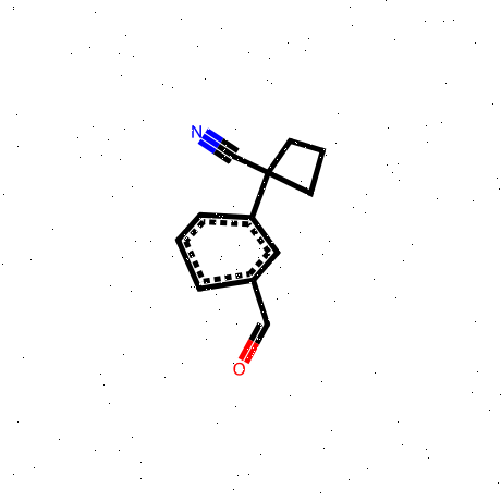 N#CC1(c2cccc(C=O)c2)CCC1